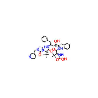 CC(C)(C)[C@H](NC(=O)O)C(=O)N[C@@H](Cc1ccccc1)[C@@H](O)C[C@H](Cc1ccccc1)NC(=O)[C@@H](N1CCN(Cc2cccnc2)C1=O)C(C)(C)C